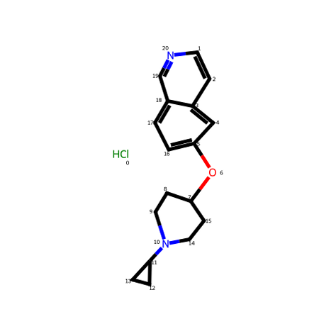 Cl.c1cc2cc(OC3CCN(C4CC4)CC3)ccc2cn1